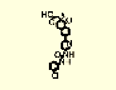 CC[C@]1(CC(=O)O)CCc2cc(-c3ccc(NC(=O)Nc4cccc(Cl)c4)cn3)ccc2C1=O